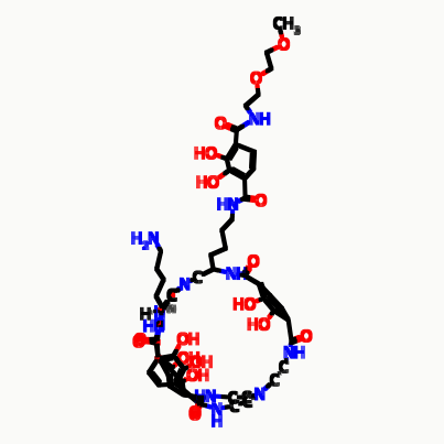 COCCOCCNC(=O)c1ccc(C(=O)NCCCCC2CN3CCNC(=O)c4ccc(c(O)c4O)C(=O)NCCN(CCNC(=O)c4ccc(c(O)c4O)C(=O)N2)CCNC(=O)c2ccc(c(O)c2O)C(=O)N[C@@H](CCCCN)C3)c(O)c1O